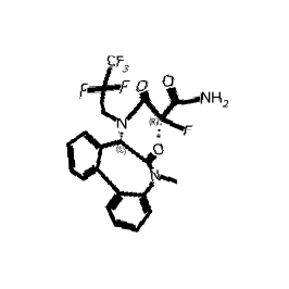 CN1C(=O)[C@@H](N(CC(F)(F)C(F)(F)F)C(=O)[C@](C)(F)C(N)=O)c2ccccc2-c2ccccc21